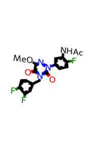 COc1nn(-c2ccc(F)c(NC(C)=O)c2)c(=O)n(Cc2ccc(F)c(F)c2)c1=O